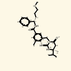 COCCC[C@H](NC(=O)c1cc(C)cc(CN2C(=N)N[C@](C)(C(C)C)CC2=O)c1)c1ccccc1